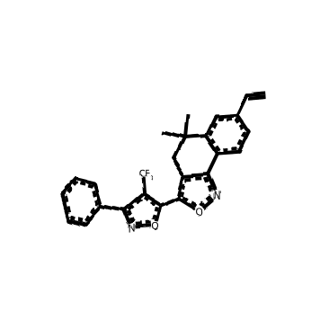 C=Cc1ccc2c(c1)C(C)(C)Cc1c-2noc1-c1onc(-c2ccccc2)c1C(F)(F)F